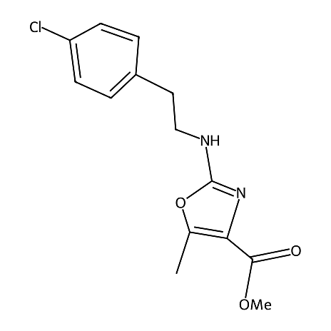 COC(=O)c1nc(NCCc2ccc(Cl)cc2)oc1C